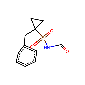 O=CNS(=O)(=O)C1(Cc2ccccc2)CC1